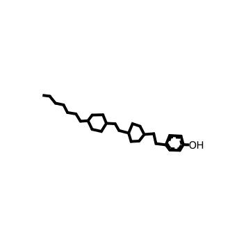 CCCCCCCC1CCC(CCC2CCC(CCc3ccc(O)cc3)CC2)CC1